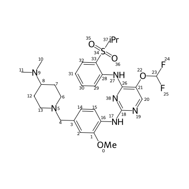 COc1cc(CN2CCC(N(C)C)CC2)ccc1Nc1ncc(OC(F)F)c(Nc2ccccc2S(=O)(=O)C(C)C)n1